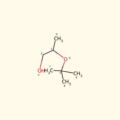 CC(CO)OC(C)(C)C